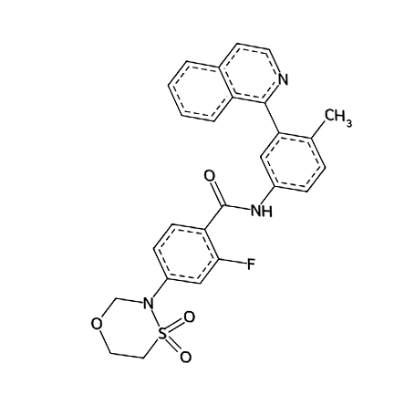 Cc1ccc(NC(=O)c2ccc(N3COCCS3(=O)=O)cc2F)cc1-c1nccc2ccccc12